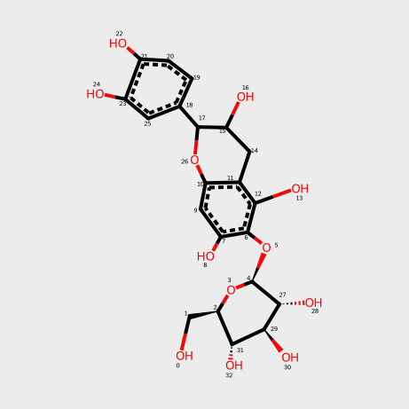 OC[C@H]1O[C@@H](Oc2c(O)cc3c(c2O)CC(O)C(c2ccc(O)c(O)c2)O3)[C@H](O)[C@@H](O)[C@@H]1O